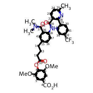 COc1cc(C(=O)O)cc(OC)c1OC(=O)CCCc1ccc(NC(=O)c2ccc(C)nc2-c2ccc(C(F)(F)F)cc2)c(C(=O)N(C)C)c1